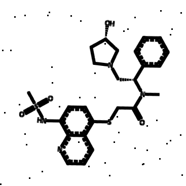 CN(C(=O)CSc1ccc(NS(C)(=O)=O)c2ncccc12)[C@H](CN1CC[C@H](O)C1)c1ccccc1